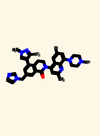 CCc1cc(N2CCN(C(C)C)CC2)c2nc(C)cc(N3CCc4c(cc(Cn5ccnc5)cc4-c4cn(C)nc4C(F)(F)F)C3=O)c2c1